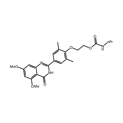 CCCNC(=O)OCCOc1c(C)cc(-c2nc3cc(OC)cc(OC)c3c(=O)[nH]2)cc1C